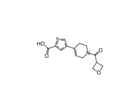 O=C(O)c1cc(C2=CCN(C(=O)C3COC3)CC2)cs1